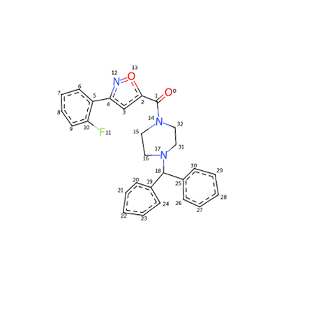 O=C(c1cc(-c2ccccc2F)no1)N1CCN(C(c2ccccc2)c2ccccc2)CC1